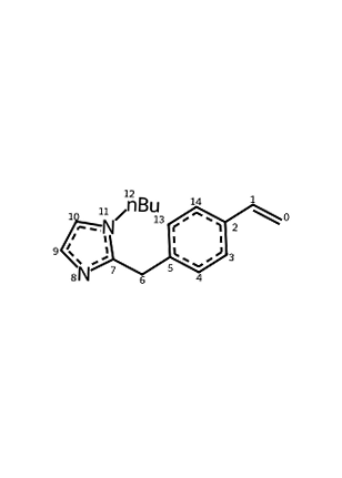 C=Cc1ccc(Cc2nccn2CCCC)cc1